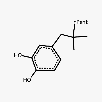 CCCCCC(C)(C)Cc1ccc(O)c(O)c1